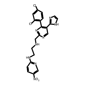 O=[N+]([O-])c1ccc(NCCNCc2ncc(-c3ncc[nH]3)c(-c3ccc(Cl)cc3Cl)n2)nc1